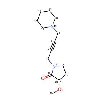 CO[C@H]1CCN(CC#CCN2CCCCC2)C1=O